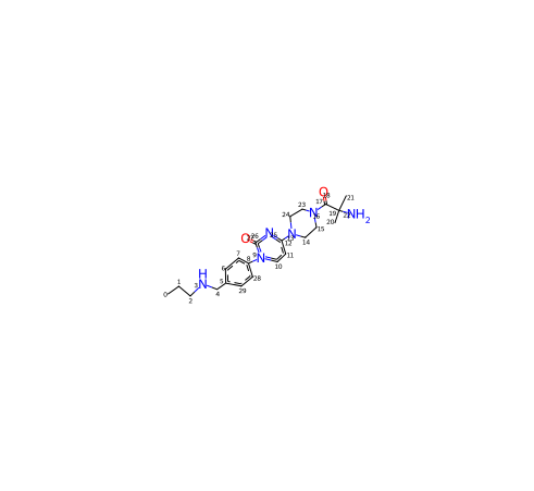 CCCNCc1ccc(-n2ccc(N3CCN(C(=O)C(C)(C)N)CC3)nc2=O)cc1